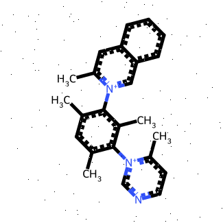 Cc1cc(C)c(-[n+]2cc3ccccc3cc2C)c(C)c1-[n+]1cnccc1C